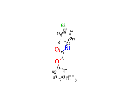 O=C(COc1cccc(C(F)(F)F)c1)Nc1ccc(Cl)cc1